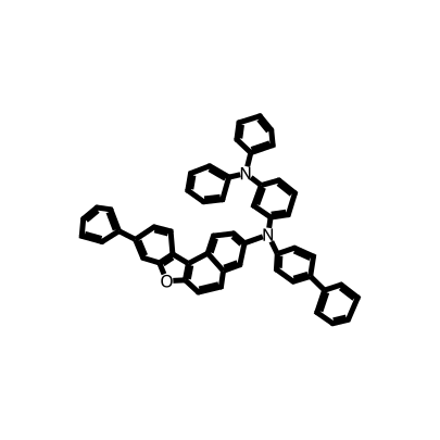 c1ccc(-c2ccc(N(c3cccc(N(c4ccccc4)c4ccccc4)c3)c3ccc4c(ccc5oc6cc(-c7ccccc7)ccc6c54)c3)cc2)cc1